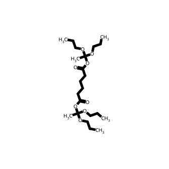 CCCOC(C)(OCCC)OC(=O)CCCCC(=O)OC(C)(OCCC)OCCC